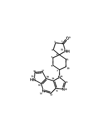 O=C1CCC2(CCC(n3cnc4cnc5[nH]ccc5c43)CC2)N1